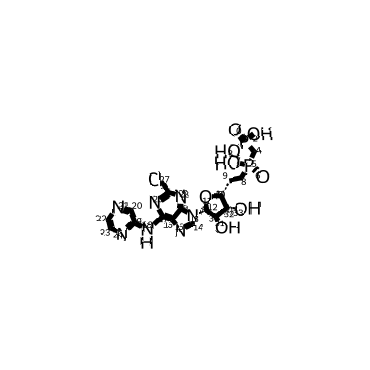 O=P(O)(O)CP(=O)(O)CC[C@H]1O[C@@H](n2cnc3c(Nc4cnccn4)nc(Cl)nc32)C(O)[C@H]1O